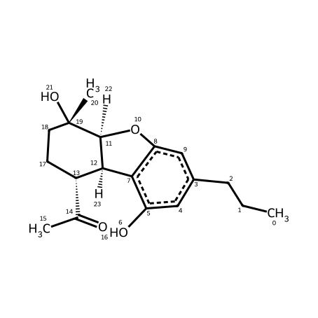 CCCc1cc(O)c2c(c1)O[C@H]1[C@@H]2[C@H](C(C)=O)CC[C@]1(C)O